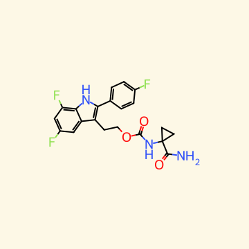 NC(=O)C1(NC(=O)OCCc2c(-c3ccc(F)cc3)[nH]c3c(F)cc(F)cc23)CC1